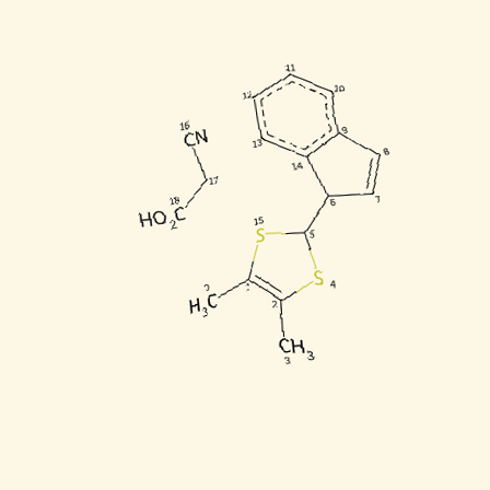 CC1=C(C)SC(C2C=Cc3ccccc32)S1.N#CCC(=O)O